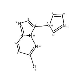 Clc1ccc2ncc([SH]3C=CN=C3)n2n1